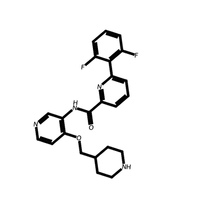 O=C(Nc1cnccc1OCC1CCNCC1)c1cccc(-c2c(F)cccc2F)n1